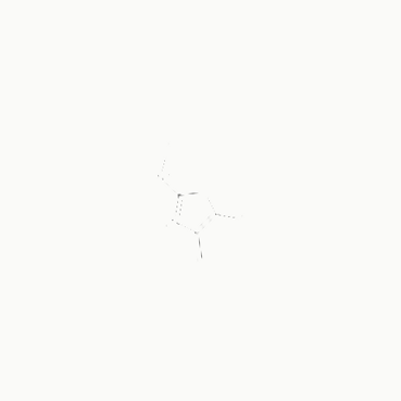 CC(=O)c1sc(NC=O)nc1C